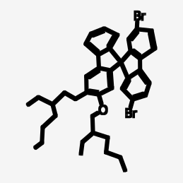 CCCCC(CC)CCc1cc2c(cc1OCC(CC)CCCC)C1(c3ccccc3-2)c2cc(Br)ccc2-c2ccc(Br)cc21